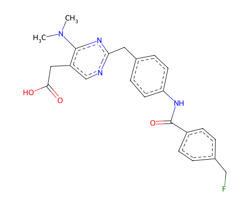 CN(C)c1nc(Cc2ccc(NC(=O)c3ccc(CF)cc3)cc2)ncc1CC(=O)O